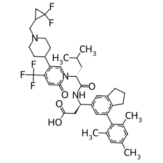 Cc1cc(C)c(-c2cc([C@@H](CC(=O)O)NC(=O)[C@@H](CC(C)C)n3cc(C4CCN(CC5CC5(F)F)CC4)c(C(F)(F)F)cc3=O)cc3c2CCC3)c(C)c1